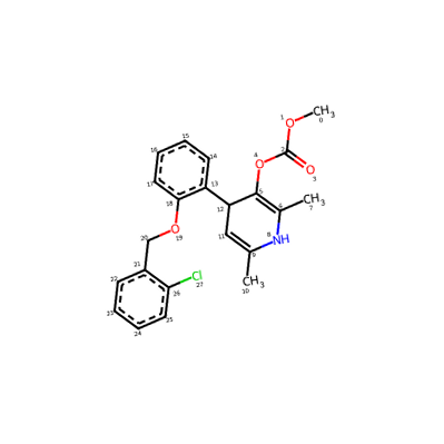 COC(=O)OC1=C(C)NC(C)=CC1c1ccccc1OCc1ccccc1Cl